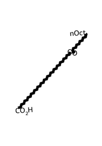 CCCCCCCC/C=C\CCCCCCCC(=O)OCCCCCCCCCCCCCCCCCCCCCCCCCCCCCCCCC(=O)O